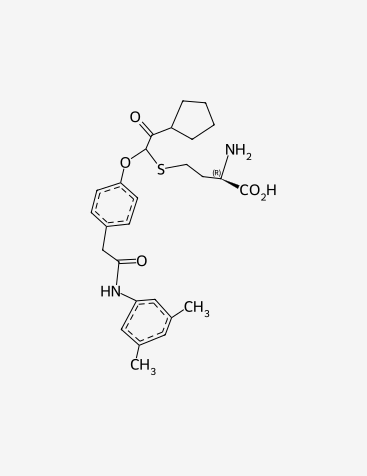 Cc1cc(C)cc(NC(=O)Cc2ccc(OC(SCC[C@@H](N)C(=O)O)C(=O)C3CCCC3)cc2)c1